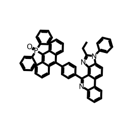 CCc1nc2c3c(-c4ccc(-c5c6ccccc6c(P(=O)(c6ccccc6)c6ccccc6)c6ccccc56)cc4)nc4ccccc4c3ccc2n1-c1ccccc1